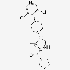 C[C@@H]1[C@@H](C(=O)N2CCCC2)NC[C@H]1N1CCN(c2c(Cl)cncc2Cl)CC1